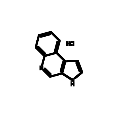 Cl.c1ccc2c(c1)ncc1[nH]ccc12